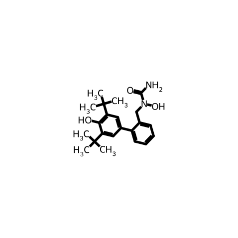 CC(C)(C)c1cc(-c2ccccc2CN(O)C(N)=O)cc(C(C)(C)C)c1O